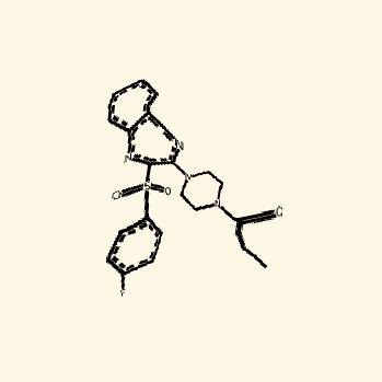 CCC(=O)N1CCN(c2nc3ccccc3nc2S(=O)(=O)c2ccc(F)cc2)CC1